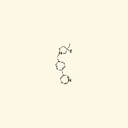 FC1(F)CCN(Cc2ccc(-c3c[c]cnc3)cc2)C1